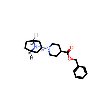 O=C(OCc1ccccc1)C1CCN([C@H]2C[C@H]3CC[C@@H](C2)N3)CC1